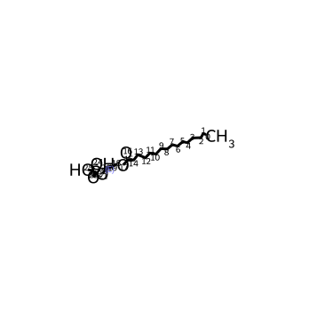 CCCCCCCCCCCCCCCC(=O)OC/C=C/OP(=O)(O)O